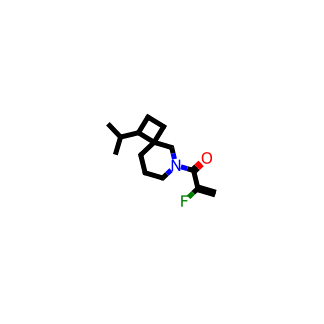 C=C(F)C(=O)N1CCCC2(CCC2C(C)C)C1